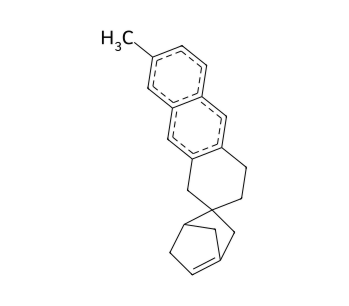 Cc1ccc2cc3c(cc2c1)CC1(CC3)CC2=CCC1C2